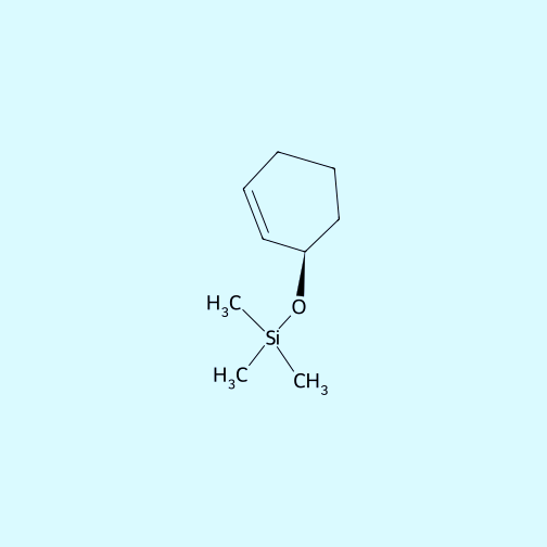 C[Si](C)(C)O[C@H]1C=CCCC1